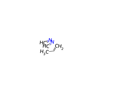 C#N.C#N.C=CC